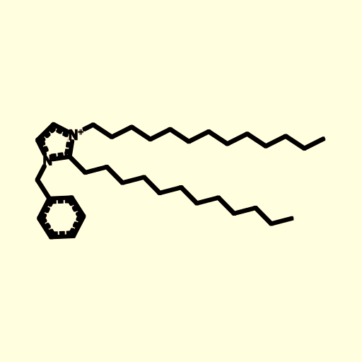 CCCCCCCCCCCCC[n+]1ccn(Cc2ccccc2)c1CCCCCCCCCCCC